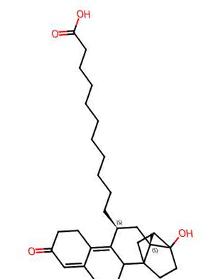 C[C@]12C[C@H](CCCCCCCCCCC(=O)O)C3=C4CCC(=O)C=C4CCC3C13CCC2(O)CC3